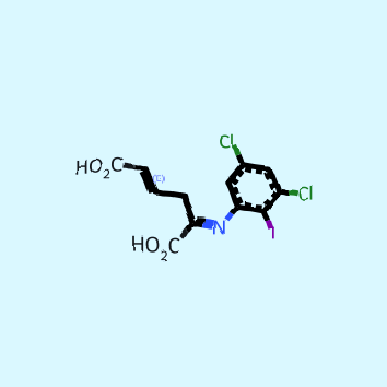 O=C(O)/C=C/CC(=Nc1cc(Cl)cc(Cl)c1I)C(=O)O